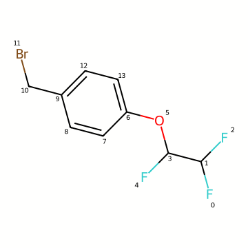 FC(F)C(F)Oc1ccc(CBr)cc1